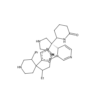 CCC(CON1C=NC=CC1[C@@]1(C2CCCC(=O)N2)CNC[C@H]1N)C1(c2cnno2)CCNCC1C(C)C